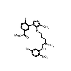 COC(=O)c1ccc(F)c(-c2cnn(C)c2OCCC[C@@H](C)CNc2cc(Br)ccc2[N+](=O)[O-])c1